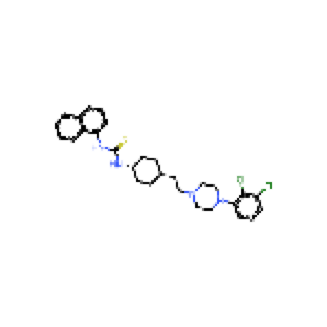 S=C(Nc1cccc2ccccc12)N[C@H]1CC[C@H](CCN2CCN(c3cccc(Cl)c3Cl)CC2)CC1